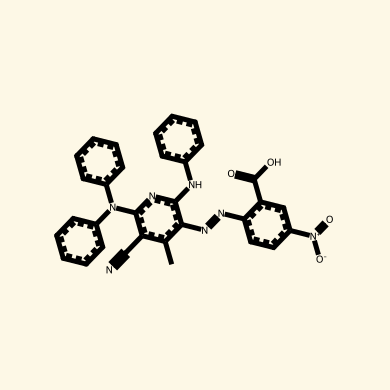 Cc1c(C#N)c(N(c2ccccc2)c2ccccc2)nc(Nc2ccccc2)c1N=Nc1ccc([N+](=O)[O-])cc1C(=O)O